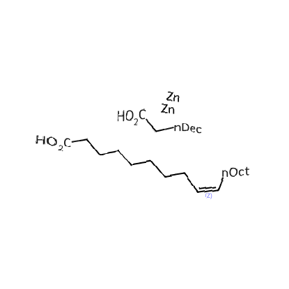 CCCCCCCC/C=C\CCCCCCCC(=O)O.CCCCCCCCCCCC(=O)O.[Zn].[Zn]